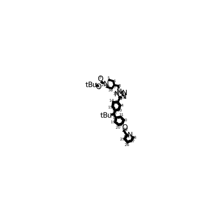 CC(C)(C)OC(=O)N1CCC(Cn2nnc(-c3ccc(C(c4ccc(OCc5ccccn5)cc4)C(C)(C)C)cc3)n2)CC1